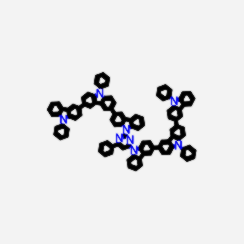 c1ccc(-c2cc(-n3c4ccccc4c4cc(-c5ccc6c(c5)c5cc(-c7ccc8c(c7)c7ccccc7n8-c7ccccc7)ccc5n6-c5ccccc5)ccc43)nc(-n3c4ccccc4c4cc(-c5ccc6c(c5)c5cc(-c7ccc8c(c7)c7ccccc7n8-c7ccccc7)ccc5n6-c5ccccc5)ccc43)n2)cc1